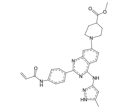 C=CC(=O)Nc1ccc(-c2nc(Nc3cc(C)[nH]n3)c3ccc(N4CCC(C(=O)OC)CC4)cc3n2)cc1